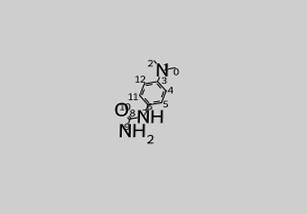 CN(C)c1ccc(NC(N)=O)cc1